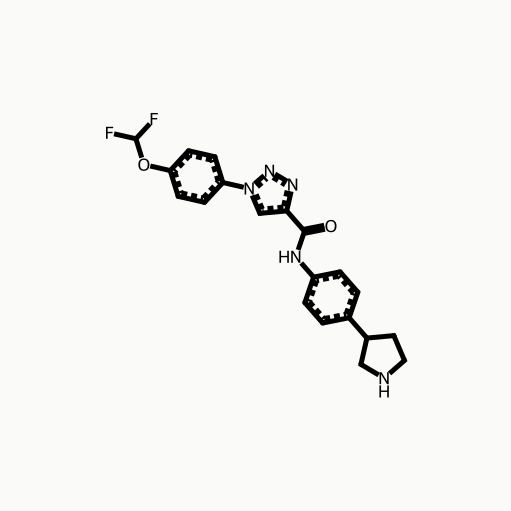 O=C(Nc1ccc(C2CCNC2)cc1)c1cn(-c2ccc(OC(F)F)cc2)nn1